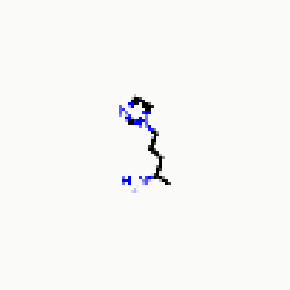 CC(N)CCCn1ccnc1